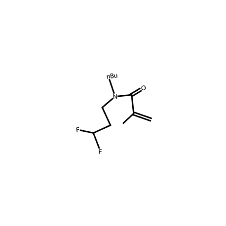 C=C(C)C(=O)N(CCCC)CCC(F)F